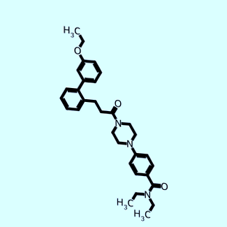 CCOc1cccc(-c2ccccc2CCC(=O)N2CCN(c3ccc(C(=O)N(CC)CC)cc3)CC2)c1